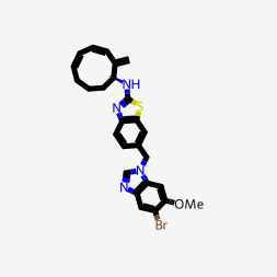 C=C1/C=C\C=C/CCC[C@@H]1Nc1nc2ccc(Cn3cnc4cc(Br)c(OC)cc43)cc2s1